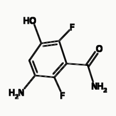 NC(=O)c1c(F)c(N)cc(O)c1F